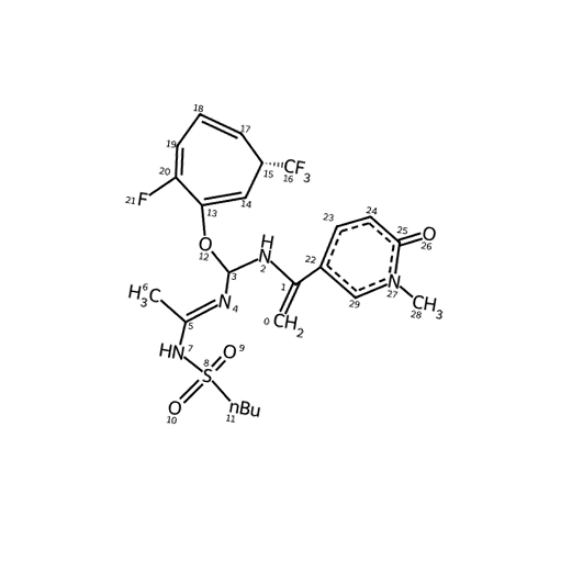 C=C(NC(/N=C(\C)NS(=O)(=O)CCCC)OC1=C[C@@H](C(F)(F)F)C=CC=C1F)c1ccc(=O)n(C)c1